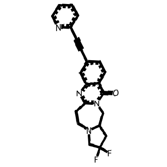 O=c1c2ccc(C#Cc3ccccn3)cc2nc2n1CC1CC(F)(F)CN1CC2